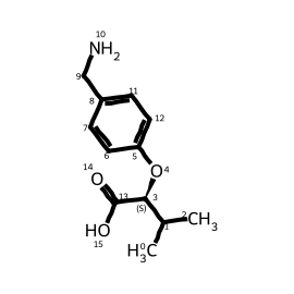 CC(C)[C@H](Oc1ccc(CN)cc1)C(=O)O